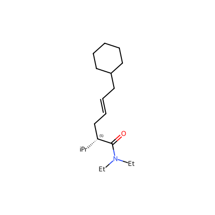 CCN(CC)C(=O)[C@@H](CC=CCC1CCCCC1)C(C)C